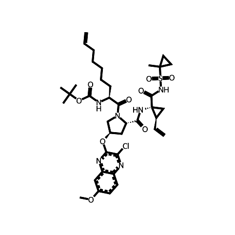 C=CCCCCC[C@H](NC(=O)OC(C)(C)C)C(=O)N1C[C@H](Oc2nc3cc(OC)ccc3nc2Cl)C[C@H]1C(=O)N[C@]1(C(=O)NS(=O)(=O)C2(C)CC2)C[C@H]1C=C